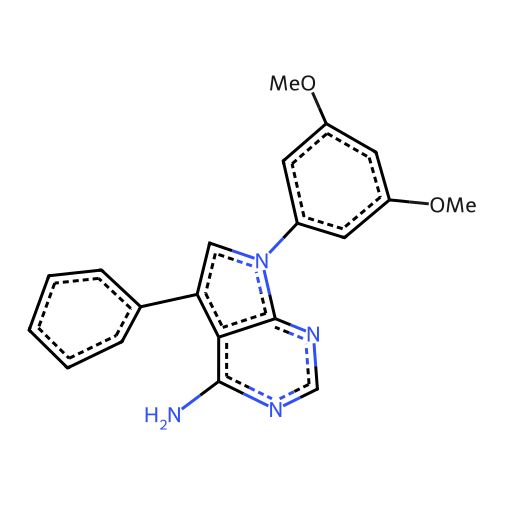 COc1cc(OC)cc(-n2cc(-c3ccccc3)c3c(N)ncnc32)c1